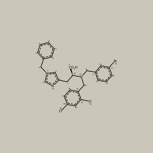 O=C(O)[C@H](Cc1cn(Cc2ccccc2)cn1)N(Cc1cccc(Br)c1)Cc1ccc(Cl)cc1Cl